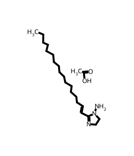 CC(=O)O.CCCCCCCCCCCCCCCC=CC1=NCCN1N